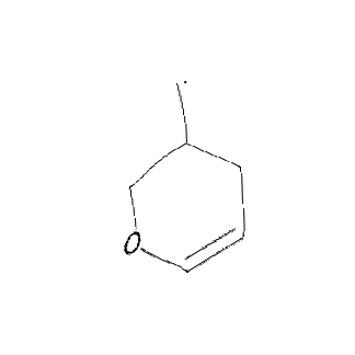 [CH2]C1CC=COC1